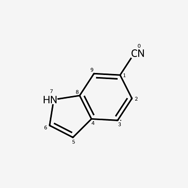 N#Cc1c[c]c2cc[nH]c2c1